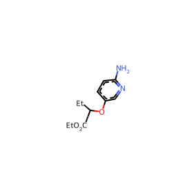 CCOC(=O)C(CC)Oc1ccc(N)nc1